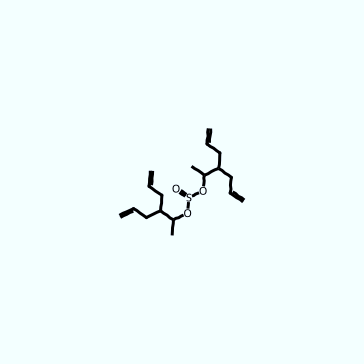 C=CCC(CC=C)C(C)OS(=O)OC(C)C(CC=C)CC=C